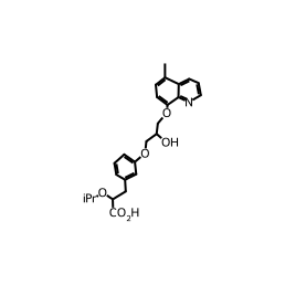 Cc1ccc(OCC(O)COc2cccc(CC(OC(C)C)C(=O)O)c2)c2ncccc12